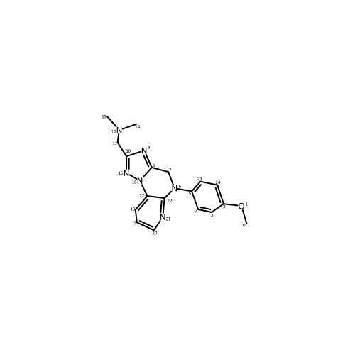 COc1ccc(N2Cc3nc(CN(C)C)nn3-c3cccnc32)cc1